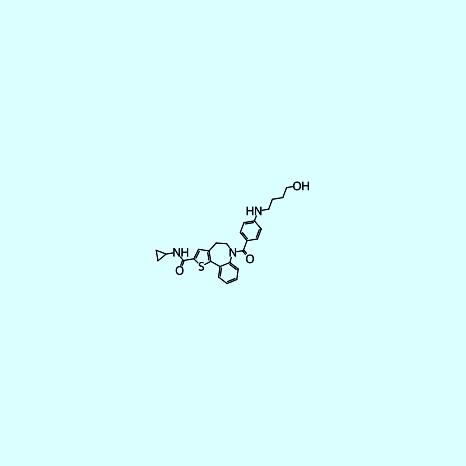 O=C(NC1CC1)c1cc2c(s1)-c1ccccc1N(C(=O)c1ccc(NCCCCO)cc1)CC2